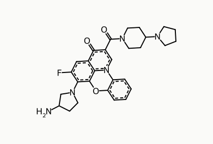 NC1CCN(c2c(F)cc3c(=O)c(C(=O)N4CCC(N5CCCC5)CC4)cn4c3c2Oc2ccccc2-4)C1